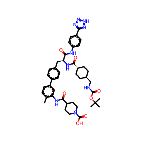 Cc1ccc(-c2ccc(C[C@H](NC(=O)[C@H]3CC[C@H](CNC(=O)OC(C)(C)C)CC3)C(=O)Nc3ccc(-c4nn[nH]n4)cc3)cc2)cc1NC(=O)C1CCN(C(=O)O)CC1